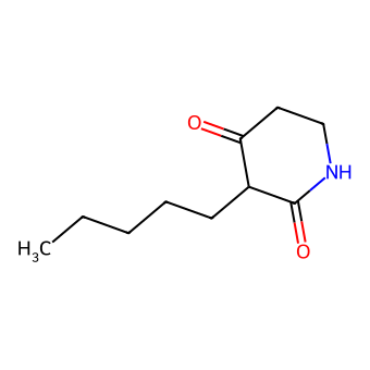 CCCCCC1C(=O)CCNC1=O